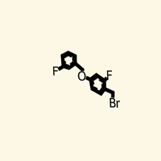 Fc1cccc(COc2ccc(CBr)c(F)c2)c1